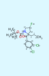 CCCC1(C(=O)c2ccc(Cl)c(Cl)c2)CC(F)CN1C(=O)OC(C)(C)C